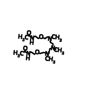 CC(=O)NCCOCCN(C)CCN(C)CCN(C)CCOCCNC(C)=O